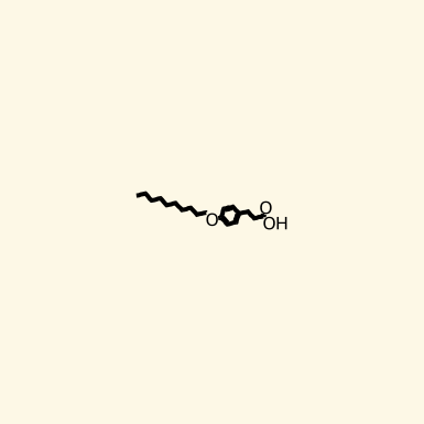 CCCCCCCCCCOc1ccc(CCC(=O)O)cc1